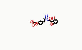 COC(=O)COc1ccc(CC(C)NCC(O)c2occ3ccccc23)cc1